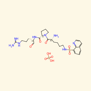 N=C(N)NCCC[C@@H](C=O)NC(=O)[C@@H]1CCCN1C(=O)[C@H](N)CCCCNS(=O)(=O)c1cccc2cccnc12.O=S(=O)(O)O